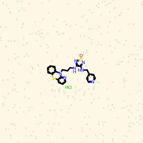 Cl.[O-][s+]1nc(NCCCN2c3ccccc3Sc3cccnc32)c(NCc2ccncc2)n1